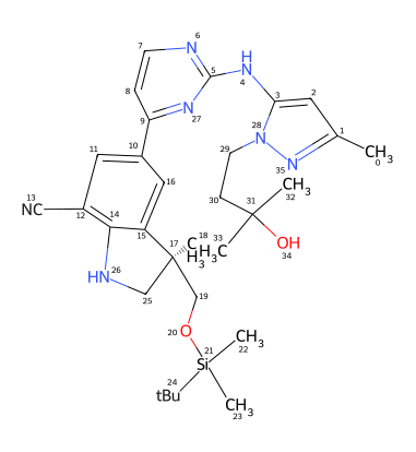 Cc1cc(Nc2nccc(-c3cc(C#N)c4c(c3)[C@@](C)(CO[Si](C)(C)C(C)(C)C)CN4)n2)n(CCC(C)(C)O)n1